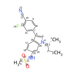 CC[C@@H](C)n1cc(-c2ccc(C#N)c(F)c2)c2ccc(NS(C)(=O)=O)cc21